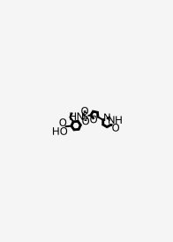 CCc1c(NS(=O)(=O)c2ccc(-c3ccc(=O)[nH]n3)o2)cccc1C(=O)O